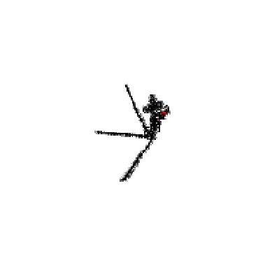 C#CC#CC#CC#CC#CC#CC#CC#CC#CC#CC#COc1cc(C(=O)Nc2ncnc3c2ncn3[C@@H]2O[C@H](COC(c3ccccc3)(c3ccc(OC)cc3)c3ccc(OC)cc3)[C@H](OC(=O)CCC(C)=O)C2O[Si](C)(C)C(C)(C)C)cc(OC#CC#CC#CC#CC#CC#CC#CC#CC#CC#CC#C)c1OC#CC#CC#CC#CC#CC#CC#CC#CC#CC#CC#C